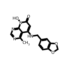 Cc1ncnc2c1c(NCc1ccc3c(c1)OCO3)cc(=O)n2O